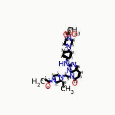 C=CC(=O)N1CCN(CCn2c(=O)ccc3cnc(Nc4ccc(N5CCN(S(C)(=O)=O)CC5)cc4)nc32)[C@@H](CC)C1